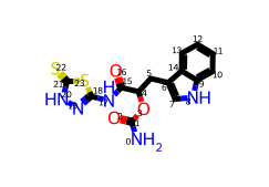 NC(=O)OC(Cc1c[nH]c2ccccc12)C(=O)Nc1n[nH]c(=S)s1